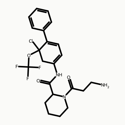 NCCC(=O)N1CCCCC1C(=O)NC1=CC=C(c2ccccc2)C(Cl)(OC(F)(F)F)C1